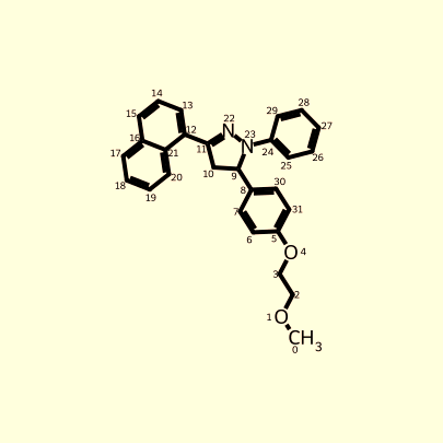 COCCOc1ccc(C2CC(c3cccc4ccccc34)=NN2c2ccccc2)cc1